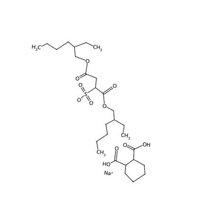 CCCCC(CC)COC(=O)CC(C(=O)OCC(CC)CCCC)S(=O)(=O)[O-].O=C(O)C1CCCCC1C(=O)O.[Na+]